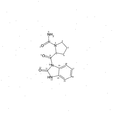 NC(=O)N1CCCC1C(=O)n1c(=O)[nH]c2ccccc21